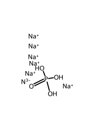 O=P(O)(O)O.[N-3].[Na+].[Na+].[Na+].[Na+].[Na+].[Na+]